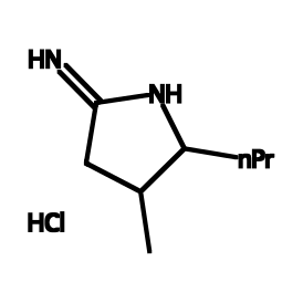 CCCC1NC(=N)CC1C.Cl